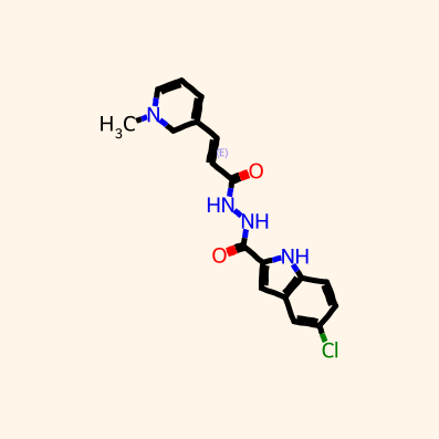 CN1C=CC=C(/C=C/C(=O)NNC(=O)c2cc3cc(Cl)ccc3[nH]2)C1